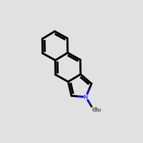 CC(C)(C)n1cc2cc3ccccc3cc2c1